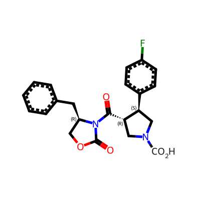 O=C(O)N1C[C@H](C(=O)N2C(=O)OC[C@H]2Cc2ccccc2)[C@@H](c2ccc(F)cc2)C1